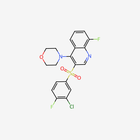 O=S(=O)(c1ccc(F)c(Cl)c1)c1cnc2c(F)cccc2c1N1CCOCC1